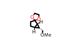 COC[C@@H]1[C@@H]2CCC3(OCCO3)[C@H]12